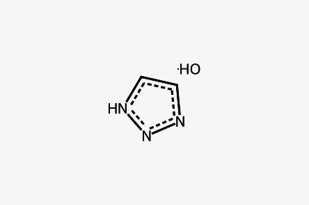 [OH].c1c[nH]nn1